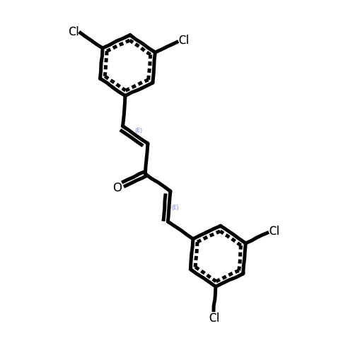 O=C(/C=C/c1cc(Cl)cc(Cl)c1)/C=C/c1cc(Cl)cc(Cl)c1